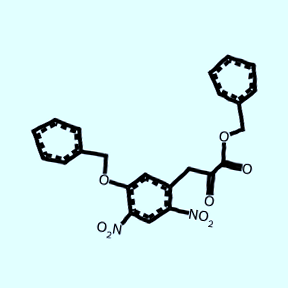 O=C(Cc1cc(OCc2ccccc2)c([N+](=O)[O-])cc1[N+](=O)[O-])C(=O)OCc1ccccc1